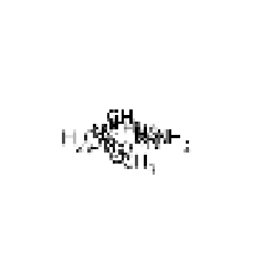 Cc1cc(-c2cnc3sc(N)nc3c2)cc2c1OCCN(c1nc(CN(C)C)nc(C)c1CC1CC1)C2